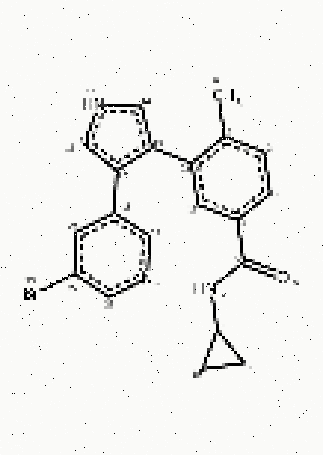 Cc1ccc(C(=O)NC2CC2)cc1-c1c[nH]nc1-c1cncc(Br)c1